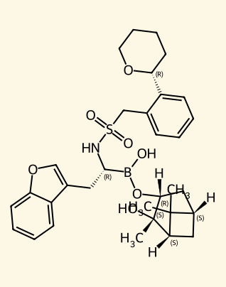 CC1(C)[C@@H]2C[C@@H](OB(O)[C@H](Cc3coc4ccccc34)NS(=O)(=O)Cc3ccccc3[C@H]3CCCCO3)[C@@](C)(O)[C@H]1C2